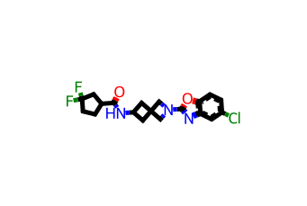 O=C(NC1CC2(C1)CN(c1nc3cc(Cl)ccc3o1)C2)C1CCC(F)(F)C1